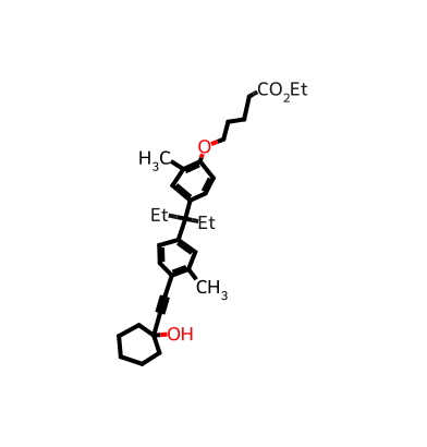 CCOC(=O)CCCCOc1ccc(C(CC)(CC)c2ccc(C#CC3(O)CCCCC3)c(C)c2)cc1C